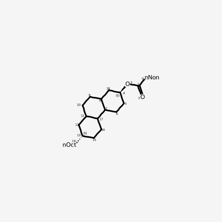 CCCCCCCCCC(=O)O[C@H]1CCC2C(CCC3C[C@@H](CCCCCCCC)CCC32)C1